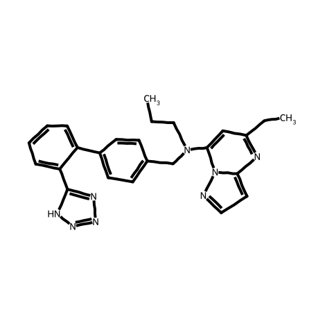 CCCN(Cc1ccc(-c2ccccc2-c2nnn[nH]2)cc1)c1cc(CC)nc2ccnn12